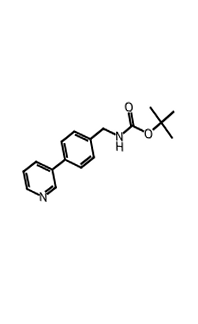 CC(C)(C)OC(=O)NCc1ccc(-c2cccnc2)cc1